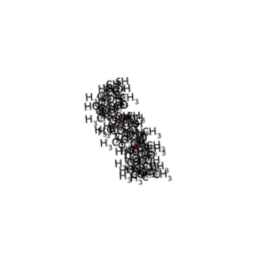 C=C(C)C(=O)OCC1O[C@@H](O[C@H]2C(C(=O)O)O[C@@H](C(CCC)(CCCC)C(CC)(CCC)OC3C(NC(C)=O)[C@H](O[C@H]4C(C(=O)O)O[C@@H](C(C)(CC)CCCC)C(O)C4O)OC(COC(=O)C(C)CSCC(O)C(O)CS)[C@H]3O)[C@@H](O)C2O)C(NC(C)=O)C(OC(CCC)(CCCC)C(CC)(CCC)[C@@H]2OC(C(=O)O)[C@H](O[C@H](OC(C)CO)C(NC(C)=O)[C@@H](C)OC(C)(CCC)CCC)C(O)[C@@H]2O)[C@@H]1O